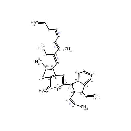 C=CC\C=C/C=C(C)/C(=C/c1c(C)oc(C=C)c1/C=C(\C)n1c(/C=C\C)c(C=C)c2ccccc21)CC